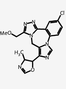 COCc1nnc2n1Cc1c(C3OC=NC3C)ncn1-c1ccc(Cl)cc1-2